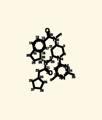 Cc1cc(N2CCC(N(C)C(=O)c3ccc4c(c3)[C@H](N(C)C(=O)CC3CCCC3)CC4)CC2)nc(C)n1